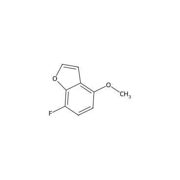 COc1ccc(F)c2occc12